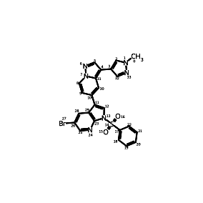 Cn1cc(-c2cnn3ccc(-c4cn(S(=O)(=O)c5ccccc5)c5ncc(Br)cc45)cc23)cn1